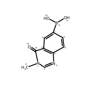 Cn1cnc2ccc(B(O)O)cc2c1=O